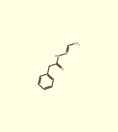 C/C=N/NC(=O)Cc1ccccc1